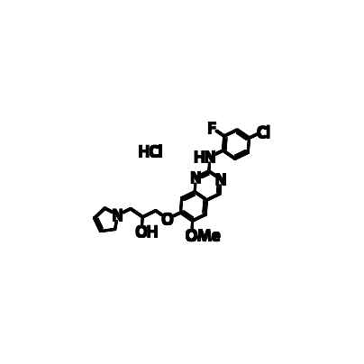 COc1cc2cnc(Nc3ccc(Cl)cc3F)nc2cc1OCC(O)CN1CC=CC1.Cl